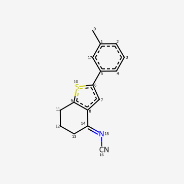 Cc1cccc(-c2cc3c(s2)CCC/C3=N\C#N)c1